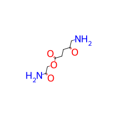 NCC(=O)CCC(=O)OCC(N)=O